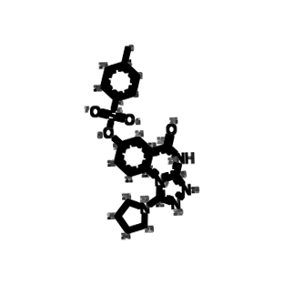 Cc1ccc(S(=O)(=O)Oc2ccc3c(c2)c(=O)[nH]c2nnc(N4CCCC4)n23)cc1